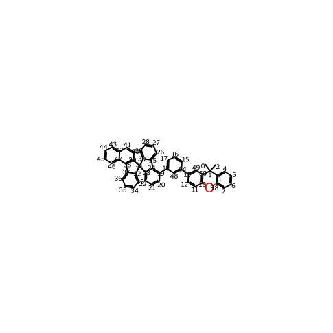 CC1(C)c2ccccc2Oc2ccc(-c3cccc(-c4cccc5c4-c4ccccc4C54c5ccccc5-c5c4ccc4ccccc54)c3)cc21